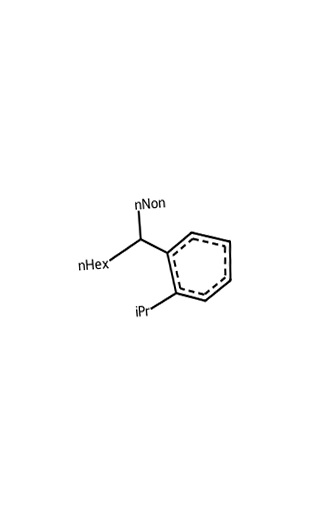 CCCCCCCCCC(CCCCCC)c1ccccc1C(C)C